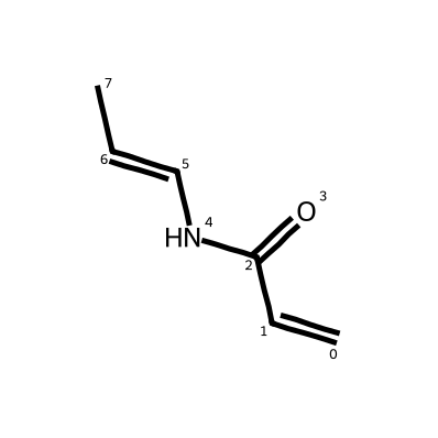 C=CC(=O)NC=CC